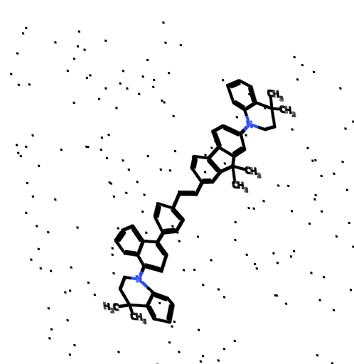 CC1(C)CCN(c2ccc3c(c2)C(C)(C)c2cc(/C=C/c4ccc(-c5ccc(N6CCC(C)(C)c7ccccc76)c6ccccc56)cc4)ccc2-3)c2ccccc21